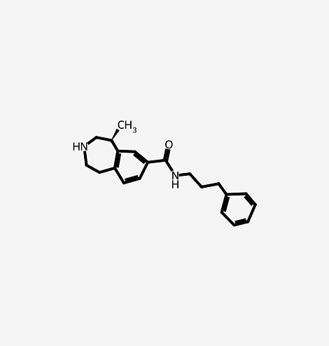 C[C@@H]1CNCCc2ccc(C(=O)NCCCc3ccccc3)cc21